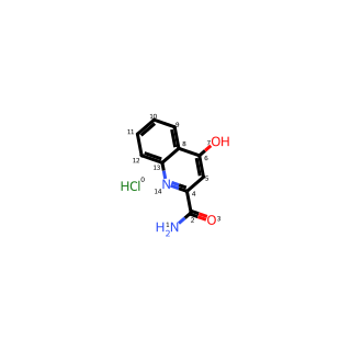 Cl.NC(=O)c1cc(O)c2ccccc2n1